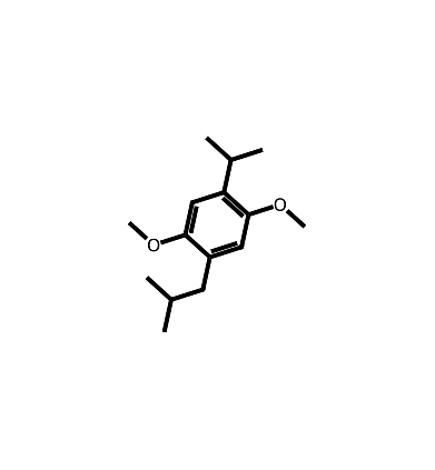 COc1cc(C(C)C)c(OC)cc1CC(C)C